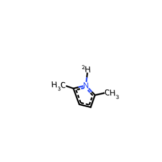 [2H]n1c(C)ccc1C